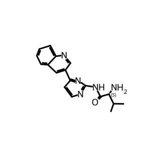 CC(C)[C@H](N)C(=O)Nc1nccc(-c2cnc3ccccc3c2)n1